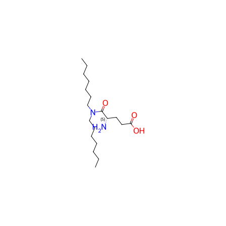 CCCCCCCN(CCCCCCC)C(=O)[C@@H](N)CCC(=O)O